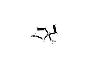 C=C[Si](C=C)(CCCC)OCCCC